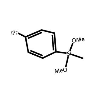 CO[Si](C)(OC)c1ccc(C(C)C)cc1